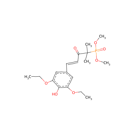 CCOc1cc(C=CC(=O)C(C)(C)P(=O)(OC)OC)cc(OCC)c1O